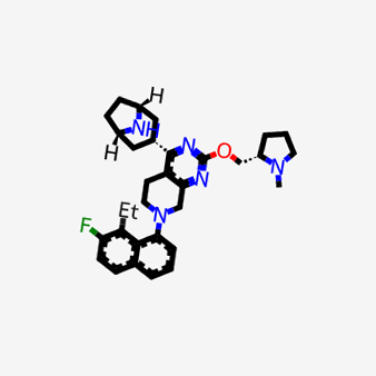 CCc1c(F)ccc2cccc(N3CCc4c(nc(OC[C@@H]5CCCN5C)nc4[C@H]4C[C@H]5CC[C@@H](C4)N5)C3)c12